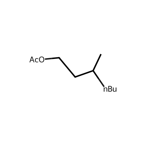 CCCCC(C)CCOC(C)=O